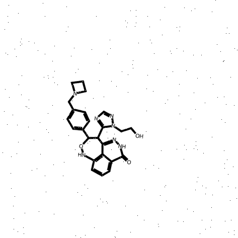 O=c1[nH]nc2c3c(cccc13)NOC(c1ccc(CN3CCC3)cc1)C2c1ncnn1CCO